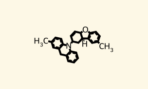 Cc1ccc2c(c1)Cc1ccccc1N2C1C=CC2Oc3ccc(C)cc3[C@@H]2C1